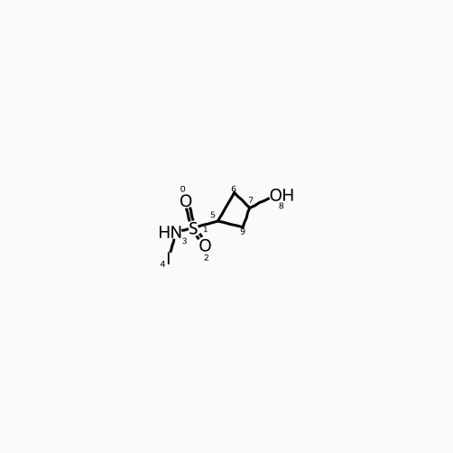 O=S(=O)(NI)C1CC(O)C1